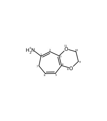 NC1=CC2=C(C=CC1)OCCO2